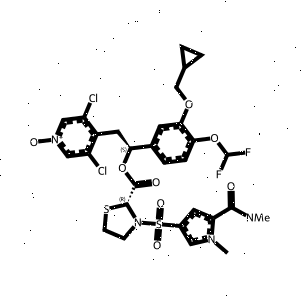 CNC(=O)c1cc(S(=O)(=O)N2CCS[C@@H]2C(=O)O[C@@H](Cc2c(Cl)c[n+]([O-])cc2Cl)c2ccc(OC(F)F)c(OCC3CC3)c2)cn1C